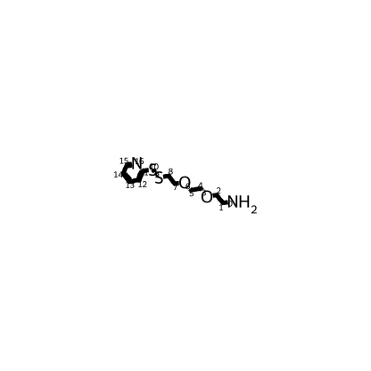 NCCOCCOCCSSc1ccccn1